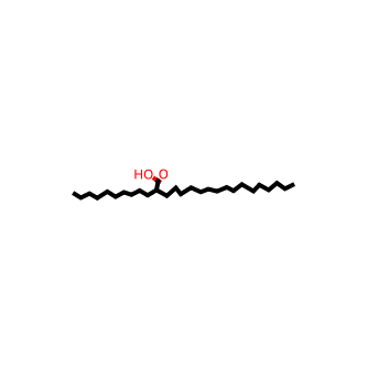 CCCCCCCCCCCCCCCCC(CCCCCCCCCC)C(=O)O